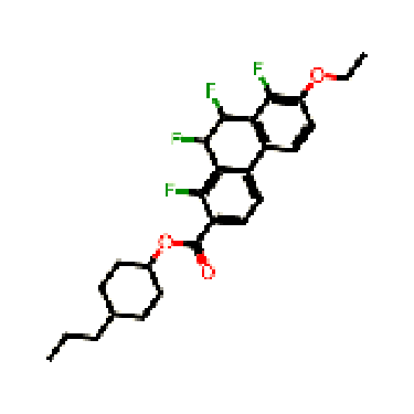 CCCC1CCC(OC(=O)c2ccc3c(c2F)C(F)C(F)c2c-3ccc(OCC)c2F)CC1